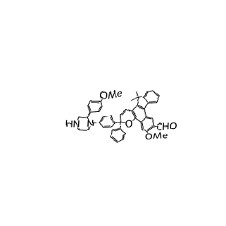 COc1ccc(C2CNCCN2c2ccc(C3(c4ccccc4)C=Cc4c5c(c6cc(C=O)c(OC)cc6c4O3)-c3ccccc3C5(C)C)cc2)cc1